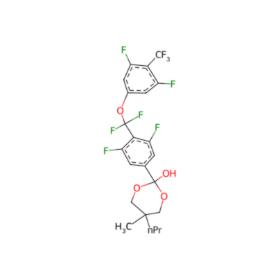 CCCC1(C)COC(O)(c2cc(F)c(C(F)(F)Oc3cc(F)c(C(F)(F)F)c(F)c3)c(F)c2)OC1